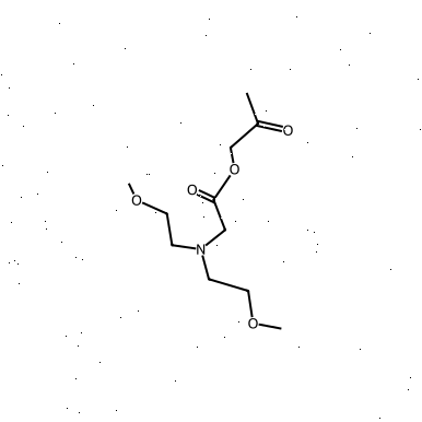 COCCN(CCOC)CC(=O)OCC(C)=O